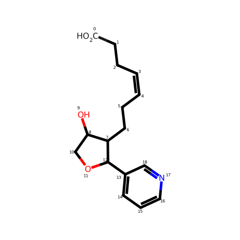 O=C(O)CC/C=C\CCC1C(O)COC1c1cccnc1